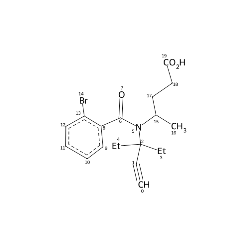 C#CC(CC)(CC)N(C(=O)c1ccccc1Br)C(C)CCC(=O)O